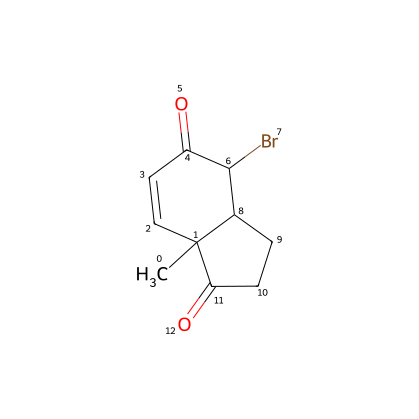 CC12C=CC(=O)C(Br)C1CCC2=O